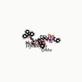 COc1ccc(CO[C@H]([C@H](C)CCC(=O)N2C(=O)OC[C@H]2Cc2ccccc2)[C@@H](C)C=C[C@H](C[C@H](O[Si](C)(C)C(C)(C)C)[C@@H](C)C=CCOC(c2ccccc2)(c2ccccc2)c2ccccc2)O[Si](C)(C)C(C)(C)C)cc1